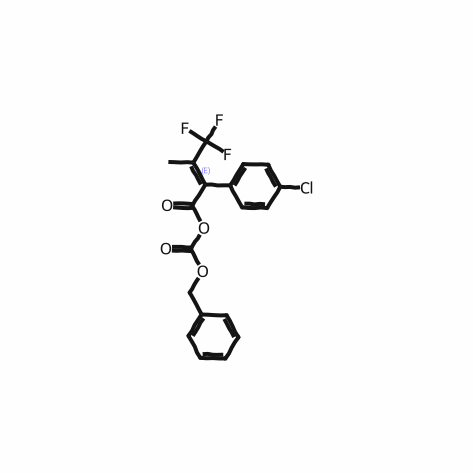 C/C(=C(\C(=O)OC(=O)OCc1ccccc1)c1ccc(Cl)cc1)C(F)(F)F